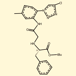 Cc1ccc(-n2cc(Cl)nn2)c(NC(=O)CN[C@@H](Cc2ccccc2)C(=O)OC(C)(C)C)c1